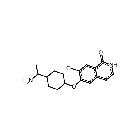 CC(N)C1CCC(Oc2cc3cc[nH]c(=O)c3cc2Cl)CC1